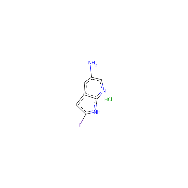 Cl.Nc1cnc2[nH]c(I)cc2c1